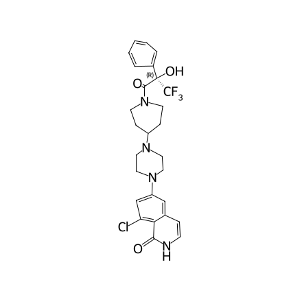 O=C(N1CCC(N2CCN(c3cc(Cl)c4c(=O)[nH]ccc4c3)CC2)CC1)[C@](O)(c1ccccc1)C(F)(F)F